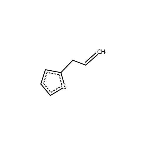 [CH]=CCc1cccs1